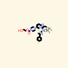 CCc1nc2ccc(N3CCN(C(=O)OCCO)CC3)cn2c1N(C)c1nc(-c2ccc(F)cc2)cs1